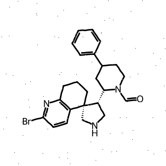 O=CN1CCC(c2ccccc2)CC1[C@@H]1CNC[C@]12CCCc1nc(Br)ccc12